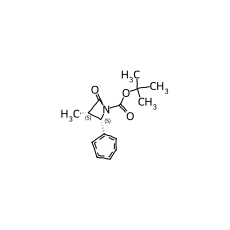 C[C@@H]1C(=O)N(C(=O)OC(C)(C)C)[C@@H]1c1ccccc1